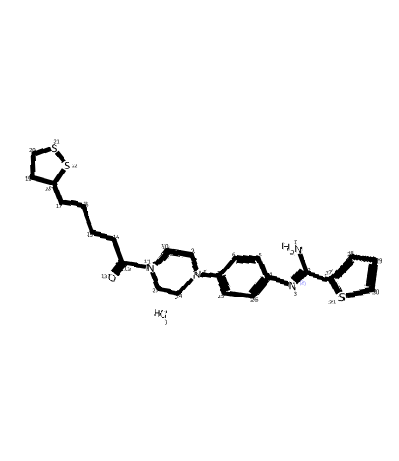 Cl.N/C(=N\c1ccc(N2CCN(C(=O)CCCCC3CCSS3)CC2)cc1)c1cccs1